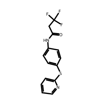 O=C(CC(F)(F)F)Nc1ccc(Sc2ccccn2)cc1